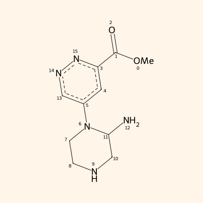 COC(=O)c1cc(N2CCNCC2N)cnn1